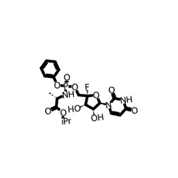 CC(C)OC(=O)[C@H](C)NP(=O)(OC[C@@]1(F)O[C@@H](n2ccc(=O)[nH]c2=O)[C@H](O)[C@@H]1O)Oc1ccccc1